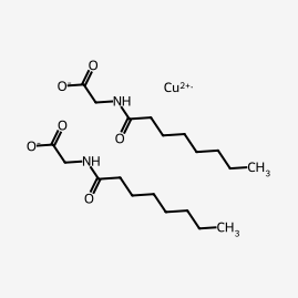 CCCCCCCC(=O)NCC(=O)[O-].CCCCCCCC(=O)NCC(=O)[O-].[Cu+2]